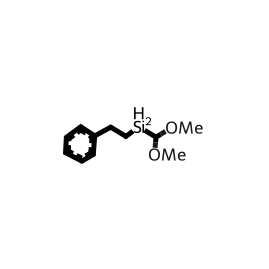 COC(OC)[SiH2]CCc1ccccc1